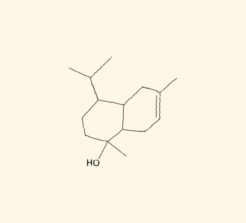 CC1=CCC2C(C1)C(C(C)C)CCC2(C)O